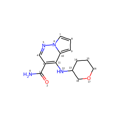 NC(=O)c1cnn2cccc2c1NC1CCCOC1